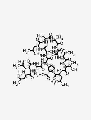 CC(C)C[C@H](NC(=O)[C@H](C)NC(=O)[C@H](C)NC(=O)[C@H](C)NC(=O)[C@H](CC(C)C)NC(=O)[C@@H](N)CC(N)=O)C(=O)N[C@@H](C)C(=O)N[C@@H](C)C(=O)N[C@@H](C)C(=O)N[C@H](C(=O)N[C@H](C(=O)N[C@@H](CC(C)C)C(=O)N1CCC[C@H]1C(=O)O)[C@@H](C)O)C(C)C